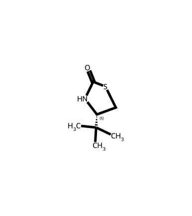 CC(C)(C)[C@H]1CSC(=O)N1